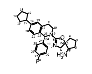 N[C@@H]1CCC[C@]12CN=C(N1CCc3cc(C4CCCC4)ccc3[C@@H]1c1ccc(F)cc1)O2